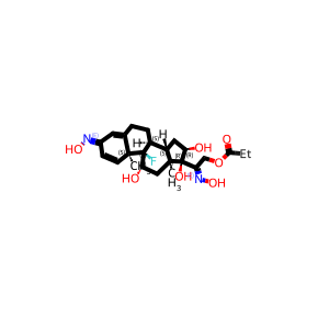 CCC(=O)OC/C(=N\O)[C@@]1(O)[C@H](O)C[C@H]2[C@@H]3CCC4=C/C(=N/O)C=C[C@]4(C)[C@@]3(F)[C@@H](O)C[C@@]21C